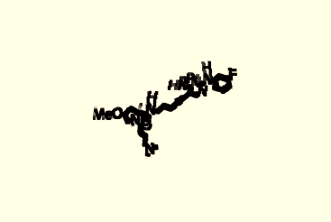 CCCNc1nc(Nc2cccc(F)c2)ncc1C#CCCCNC(=O)[C@]1(C)C[C@H](OC)CN1C(=O)/C=C/CN(C)C